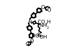 NC(CCCCB(O)O)(C(=O)O)C1CC(N(Cc2ccc(-c3ccc(O[C@H]4CCOC4)cc3)cc2)Cc2ccc(-c3ccc(O[C@H]4CCOC4)cc3)cc2)C1